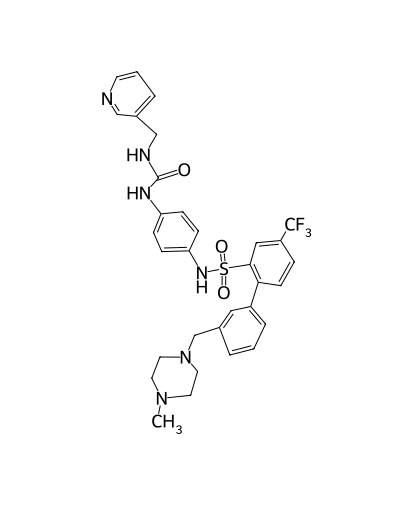 CN1CCN(Cc2cccc(-c3ccc(C(F)(F)F)cc3S(=O)(=O)Nc3ccc(NC(=O)NCc4cccnc4)cc3)c2)CC1